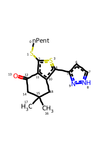 CCCCCSc1sc(-c2cc[nH]n2)c2c1C(=O)CC(C)(C)C2